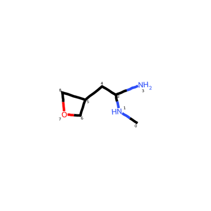 CNC(N)CC1COC1